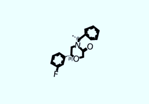 C[C@H](c1ccccc1)N1C[C@@H](c2cccc(F)c2)OCC1=O